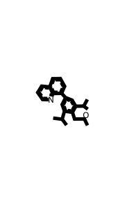 CC(=O)Cc1c(C(C)C)cc(-c2cccc3cccnc23)cc1C(C)C